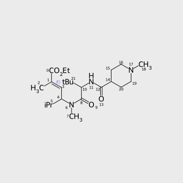 CCOC(=O)/C(C)=C/C(C(C)C)N(C)C(=O)C(NC(=O)C1CCN(C)CC1)C(C)(C)C